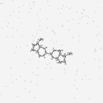 CC(C)n1nnc2ccc(-c3cnc4c(c3)nnn4C(C)C)cc21